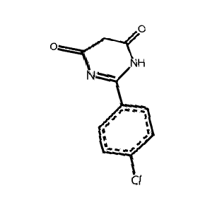 O=C1CC(=O)NC(c2ccc(Cl)cc2)=N1